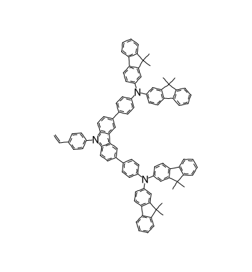 C=Cc1ccc(-n2c3ccc(-c4ccc(N(c5ccc6c(c5)C(C)(C)c5ccccc5-6)c5ccc6c(c5)C(C)(C)c5ccccc5-6)cc4)cc3c3cc(-c4ccc(N(c5ccc6c(c5)C(C)(C)c5ccccc5-6)c5ccc6c(c5)C(C)(C)c5ccccc5-6)cc4)ccc32)cc1